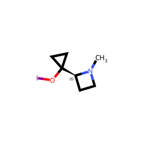 CN1CC[C@H]1C1(OI)CC1